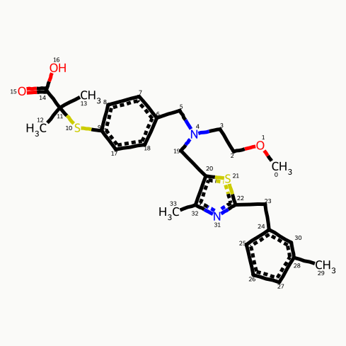 COCCN(Cc1ccc(SC(C)(C)C(=O)O)cc1)Cc1sc(Cc2cccc(C)c2)nc1C